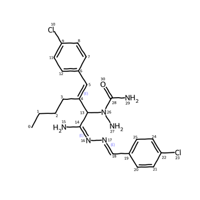 CCCC/C(=C\c1ccc(Cl)cc1)C(/C(N)=N\N=C\c1ccc(Cl)cc1)N(N)C(N)=O